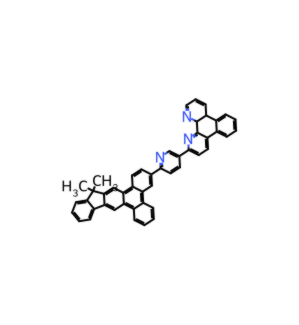 CC1(C)c2ccccc2-c2cc3c4ccccc4c4cc(-c5ccc(-c6ccc7c(n6)C6N=CC=CC6c6ccccc6-7)cn5)ccc4c3cc21